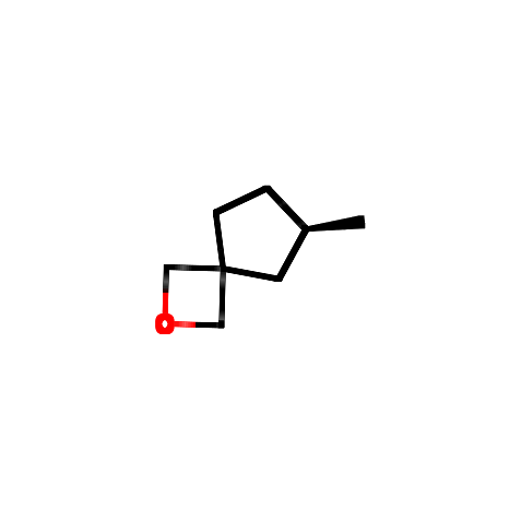 C[C@@H]1CCC2(COC2)C1